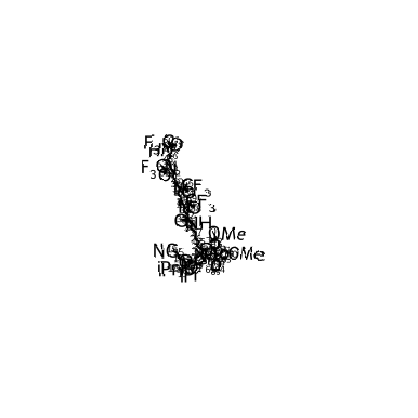 COc1ccc(C(OC[C@@H]2C[C@@H](OP(OCCC#N)C(C(C)C)C(C)C)CN2C(=O)CCCCCNC(=O)CCN(CCCN(CCCCN(CCCNC(=O)C(F)(F)F)C(=O)C(F)(F)F)C(=O)C(F)(F)F)C(=O)C(F)(F)F)(c2ccccc2)c2ccc(OC)cc2)cc1